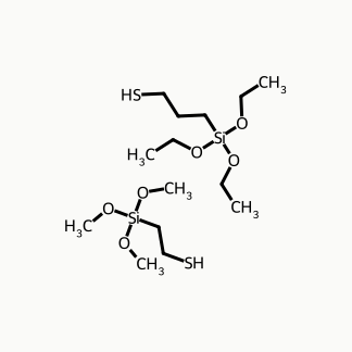 CCO[Si](CCCS)(OCC)OCC.CO[Si](CCS)(OC)OC